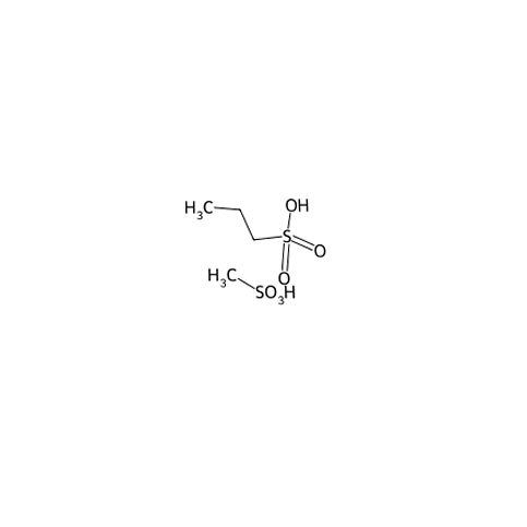 CCCS(=O)(=O)O.CS(=O)(=O)O